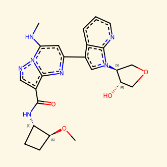 CNc1cc(-c2cn([C@H]3COC[C@@H]3O)c3ncccc23)nc2c(C(=O)N[C@H]3CC[C@@H]3OC)cnn12